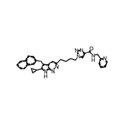 O=C(NCc1ccccn1)c1cn(CCCCc2cc3c(Cc4ccc5ccccc5c4)c(C4CC4)[nH]c3nn2)nn1